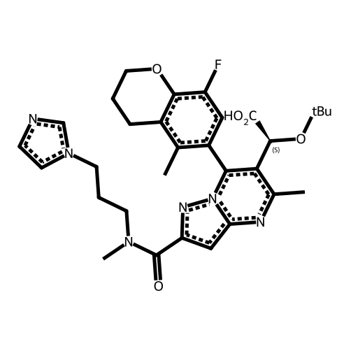 Cc1nc2cc(C(=O)N(C)CCCn3ccnc3)nn2c(-c2cc(F)c3c(c2C)CCCO3)c1[C@H](OC(C)(C)C)C(=O)O